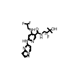 CC(C)(O)[C@H](F)CNC(=O)c1cnc(Nc2ccn3nccc3n2)cc1NCC(F)F